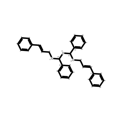 C(=Cc1ccccc1)COC(OC(OCC=Cc1ccccc1)c1ccccc1)c1ccccc1